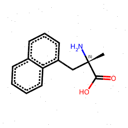 C[C@](N)(Cc1cccc2ccccc12)C(=O)O